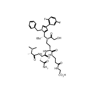 C[C@@H](C(=O)N[C@@H](CC(N)=O)C(=O)N[C@@H](CCN(C(=O)CO)[C@@H](c1cc(-c2cc(F)ccc2F)cn1Cc1ccccc1)C(C)(C)C)C(=O)NCCC(=O)NCC(=O)O)N(C)C